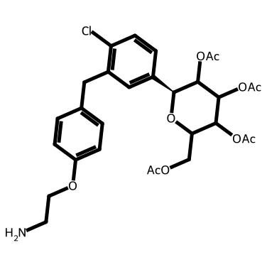 CC(=O)OCC1O[C@@H](c2ccc(Cl)c(Cc3ccc(OCCN)cc3)c2)C(OC(C)=O)C(OC(C)=O)C1OC(C)=O